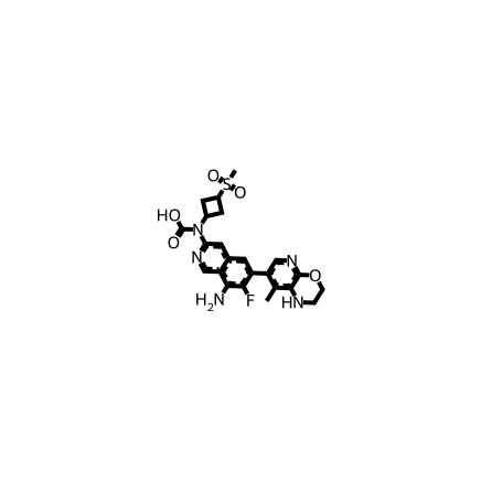 Cc1c(-c2cc3cc(N(C(=O)O)C4CC(S(C)(=O)=O)C4)ncc3c(N)c2F)cnc2c1NCCO2